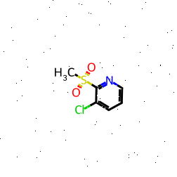 CS(=O)(=O)c1ncccc1Cl